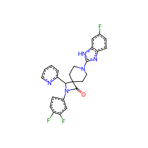 O=C1N(c2ccc(F)c(F)c2)C(c2ccccn2)C12CCN(c1nc3ccc(F)cc3[nH]1)CC2